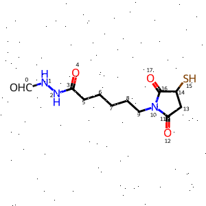 O=CNNC(=O)CCCCCN1C(=O)CC(S)C1=O